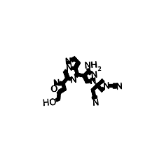 N#CCC1(n2cc(-c3nc(-c4cc(CO)on4)cn4nccc34)c(N)n2)CN(C#N)C1